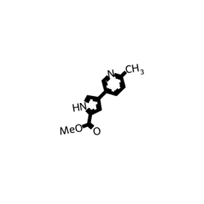 COC(=O)c1cc(-c2ccc(C)nc2)c[nH]1